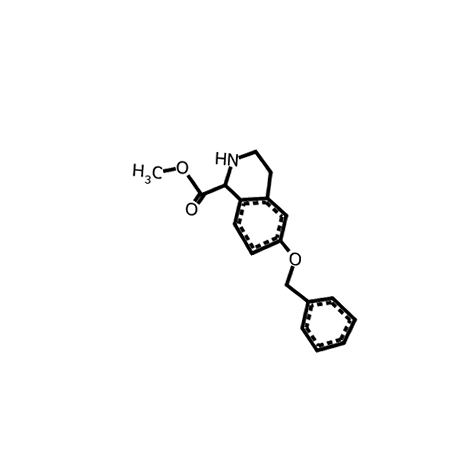 COC(=O)C1NCCc2cc(OCc3ccccc3)ccc21